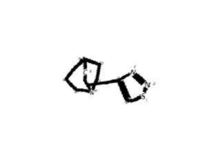 c1snnc1C1CC2CCN1CC2